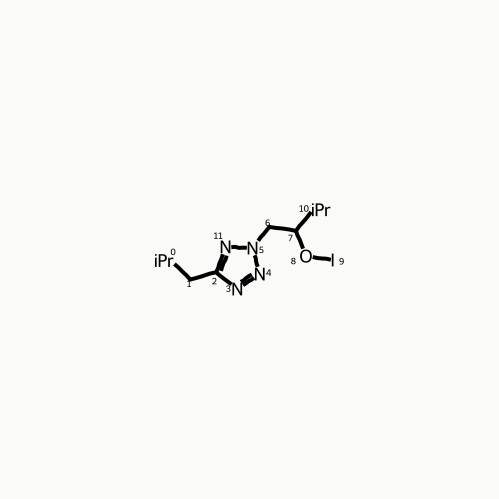 CC(C)Cc1nnn(CC(OI)C(C)C)n1